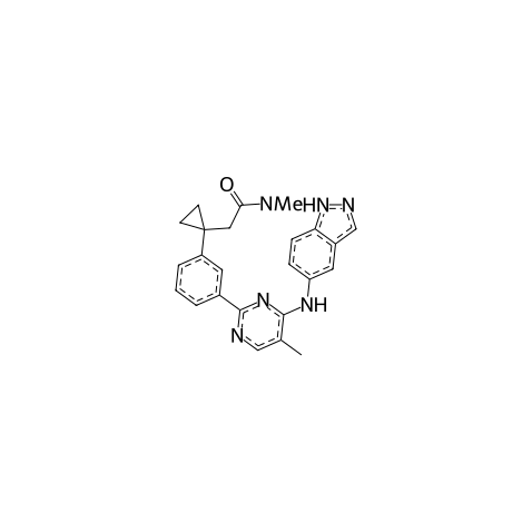 CNC(=O)CC1(c2cccc(-c3ncc(C)c(Nc4ccc5[nH]ncc5c4)n3)c2)CC1